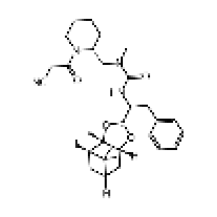 CN(C[C@H]1CCCCN1C(=O)CC#N)C(=O)N[C@@H](Cc1ccccc1)B1O[C@@H]2C[C@@H]3C[C@@H](C3(C)C)[C@]2(C)O1